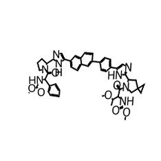 COC(=O)NC(C(=O)N1CCCC1c1ncc(-c2ccc3cc(-c4ccc(-c5cnc(C6CC7(CC7)CN6C(=O)C(NC(=O)OC)C(C)OC)[nH]5)cc4)ccc3c2)[nH]1)c1ccccc1